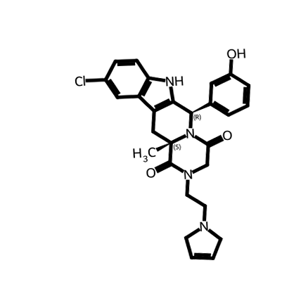 C[C@@]12Cc3c([nH]c4ccc(Cl)cc34)[C@@H](c3cccc(O)c3)N1C(=O)CN(CCN1CC=CC1)C2=O